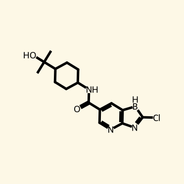 CC(C)(O)C1CCC(NC(=O)c2cnc3c(c2)BC(Cl)=N3)CC1